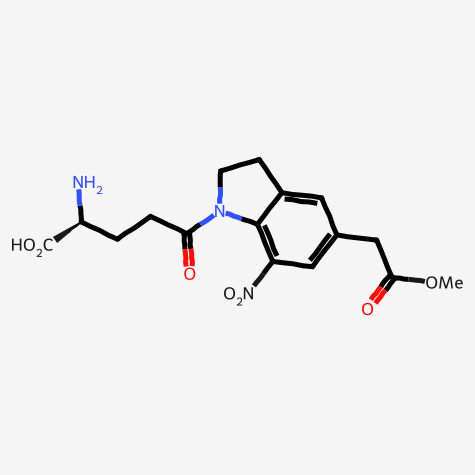 COC(=O)Cc1cc2c(c([N+](=O)[O-])c1)N(C(=O)CC[C@H](N)C(=O)O)CC2